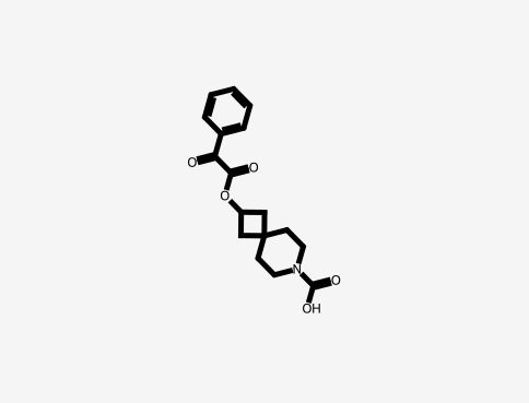 O=C(OC1CC2(CCN(C(=O)O)CC2)C1)C(=O)c1ccccc1